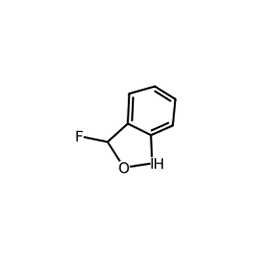 FC1O[IH]c2ccccc21